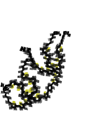 CC#CC#Cc1ccc(-c2ccc(-c3ccc([Si](c4ccc(-c5ccc(-c6ccc(-c7ccc(-c8ccc([Si](c9ccc(-c%10ccc(-c%11ccc(C)s%11)s%10)s9)(c9ccc(-c%10ccc(-c%11ccc(CCCCCC)s%11)s%10)s9)c9ccc(-c%10ccc(-c%11ccc(CCCCCC)s%11)s%10)s9)s8)s7)cc6)s5)s4)(c4ccc(-c5ccc(-c6ccc(C#CC#CC)s6)s5)s4)c4ccc(-c5ccc(-c6ccc(CCCCCC)s6)s5)s4)s3)s2)s1